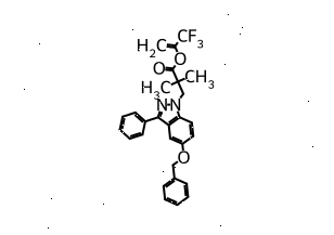 C=C(OC(=O)C(C)(C)Cn1nc(-c2ccccc2)c2cc(OCc3ccccc3)ccc21)C(F)(F)F